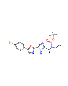 CCCN(C(=O)OC(C)(C)C)[C@@H](C)c1ncc(-c2ncc(-c3ccc(Br)cc3)o2)[nH]1